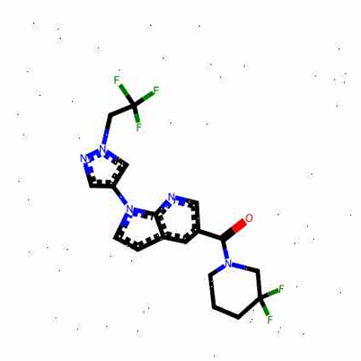 O=C(c1cnc2c(ccn2-c2cnn(CC(F)(F)F)c2)c1)N1CCCC(F)(F)C1